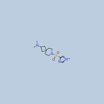 CN(C)C1CC2(CCN(S(=O)(=O)c3cn(C)cn3)CC2)C1